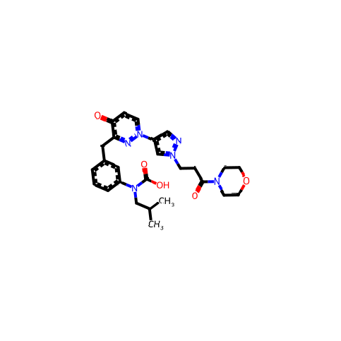 CC(C)CN(C(=O)O)c1cccc(Cc2nn(-c3cnn(CCC(=O)N4CCOCC4)c3)ccc2=O)c1